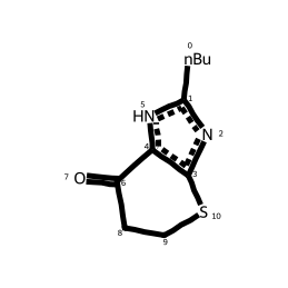 CCCCc1nc2c([nH]1)C(=O)CCS2